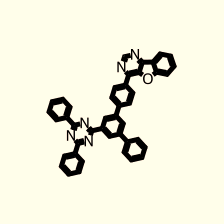 c1ccc(-c2cc(-c3ccc(-c4ncnc5c4oc4ccccc45)cc3)cc(-c3nc(-c4ccccc4)nc(-c4ccccc4)n3)c2)cc1